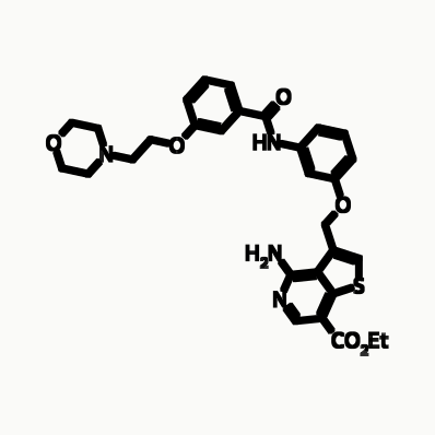 CCOC(=O)c1cnc(N)c2c(COc3cccc(NC(=O)c4cccc(OCCN5CCOCC5)c4)c3)csc12